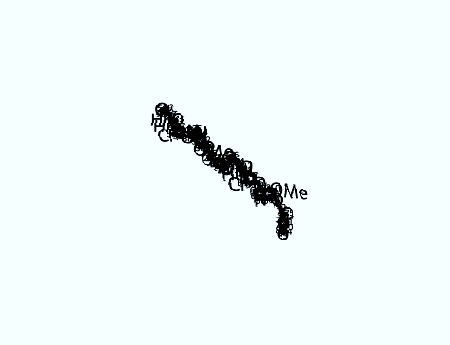 COc1cc2c(Oc3ccc(NC(=O)NCC4COC4C4OCC45CCN(C(=O)CCOc4cc6ncnc(Oc7ccc(NC(=O)NCC8COC8)c(Cl)c7)c6cc4OC)CC5)c(Cl)c3)ccnc2cc1OCCCC(=O)N1CCC2(CC1)COC2